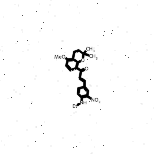 CCNc1ccc(/C=C/C(=O)c2ccc(OC)c3c2OC(C)(C)C=C3)cc1[N+](=O)[O-]